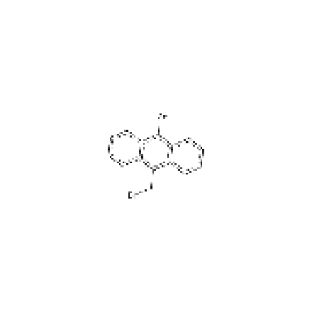 CC(=O)c1c2ccccc2c(CBr)c2ccccc12